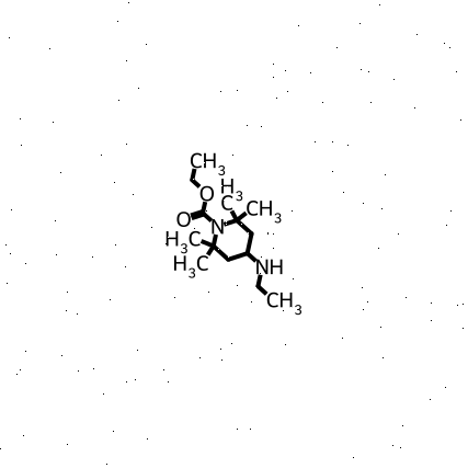 CCNC1CC(C)(C)N(C(=O)OCC)C(C)(C)C1